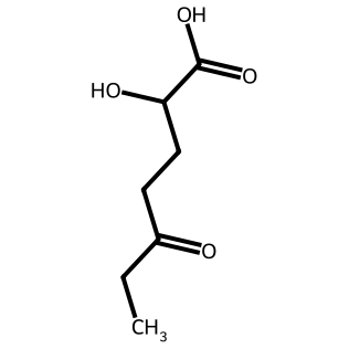 CCC(=O)CCC(O)C(=O)O